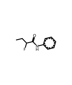 CCC(F)C(=O)Nc1ccccc1